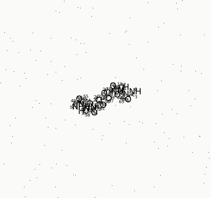 CNC(C)C(=O)NC(C(=O)N1CCC[C@H]1C(=O)N[C@@H]1CCOc2c(-c3cccc4c3OCC[C@H]4NC(=O)[C@@H]3CCCN3C(=O)C(NC(=O)C(C)NC)C(C)(C)C)cccc21)C(C)(C)C